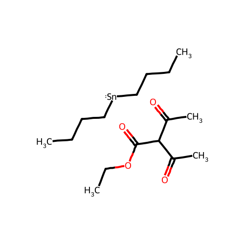 CCC[CH2][Sn][CH2]CCC.CCOC(=O)C(C(C)=O)C(C)=O